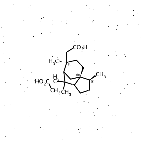 CC(=O)O.C[C@H]1CCC2C(C)(C)C3C[C@@]21CC[C@]3(C)CC(=O)O